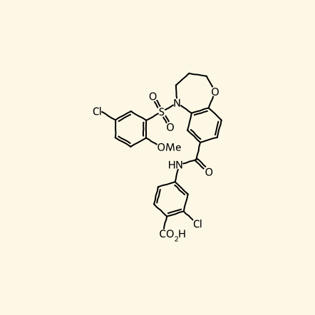 COc1ccc(Cl)cc1S(=O)(=O)N1CCCOc2ccc(C(=O)Nc3ccc(C(=O)O)c(Cl)c3)cc21